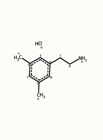 Cc1cc(C)cc(CCN)c1.Cl